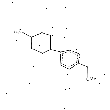 COCc1ccc(C2CCC(C)CC2)cc1